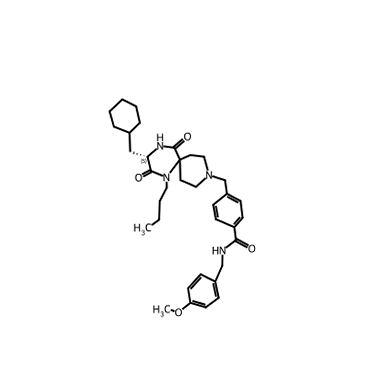 CCCCN1C(=O)[C@H](CC2CCCCC2)NC(=O)C12CCN(Cc1ccc(C(=O)NCc3ccc(OC)cc3)cc1)CC2